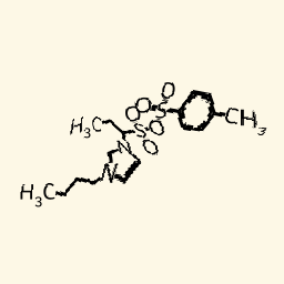 CCCCN1C=CN(C(CC)S(=O)(=O)OS(=O)(=O)c2ccc(C)cc2)C1